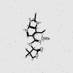 CO[C@@H](C)c1c(C(=O)OC2C(=O)OCC2(C)C)cnc2sc(C)nc12